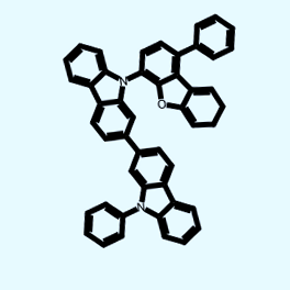 C1=c2oc3c(-n4c5ccccc5c5ccc(-c6ccc7c8ccccc8n(-c8ccccc8)c7c6)cc54)ccc(-c4ccccc4)c3c2=CCC1